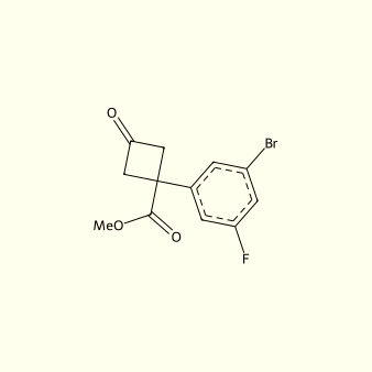 COC(=O)C1(c2cc(F)cc(Br)c2)CC(=O)C1